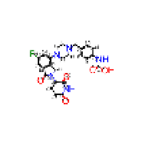 O=C(O)Nc1ccc(CN2CCN(c3cc(F)cc4c3CN(C3CCC(=O)NC3=O)C4=O)CC2)cc1